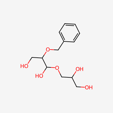 OCC(O)COC(O)C(CO)OCc1ccccc1